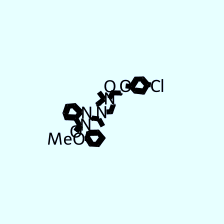 COc1ccccc1-n1c(C(C)N2CCN(C(=O)COc3ccc(Cl)cc3)C(C)C2)nc2ccccc2c1=O